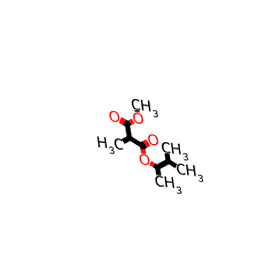 COC(=O)C(C)C(=O)OC(C)C(C)C